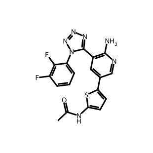 CC(=O)Nc1ccc(-c2cnc(N)c(-c3nnnn3-c3cccc(F)c3F)c2)s1